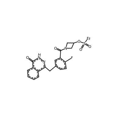 CCS(=O)(=O)OC1CN(C(=O)c2cc(Cc3n[nH]c(=O)c4ccccc34)ccc2F)C1